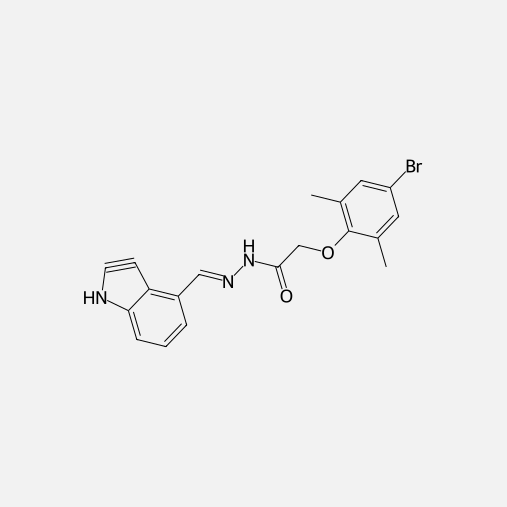 Cc1cc(Br)cc(C)c1OCC(=O)N/N=C/c1cccc2[nH]c#cc12